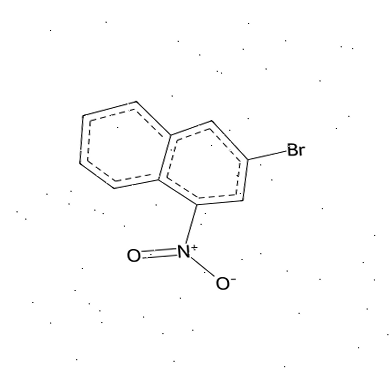 O=[N+]([O-])c1cc(Br)cc2ccccc12